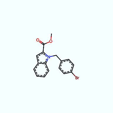 COC(=O)c1cc2ccccc2n1Cc1ccc(Br)cc1